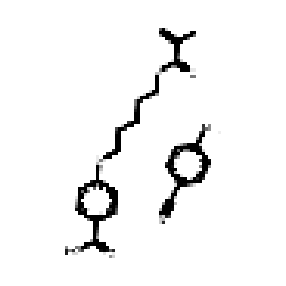 C=C(C)C(=O)OCCCCCOc1ccc(C(=O)O)cc1.N#Cc1ccc(N)cc1